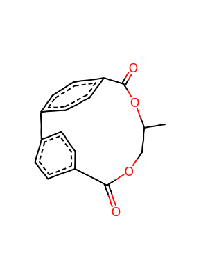 CC1COC(=O)c2ccc(cc2)-c2ccc(cc2)C(=O)O1